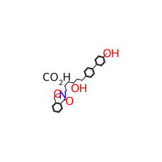 O=C(O)C(CCN1OCc2ccccc2C1=O)C(O)CCc1ccc(-c2ccc(O)cc2)cc1